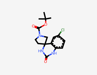 CC(C)(C)OC(=O)N1CCC2(C1)NC(=O)Nc1ccc(Cl)cc12